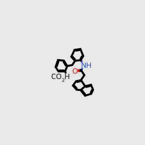 O=C(Cc1cccc2ccccc12)Nc1ccccc1Cc1ccccc1C(=O)O